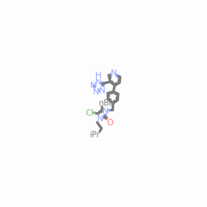 CCCCc1c(Cl)n(CCC(C)C)c(=O)n1Cc1ccc(-c2ccncc2-c2nnn[nH]2)cc1